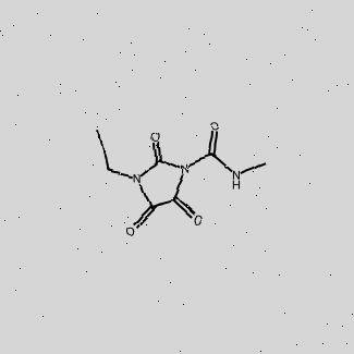 CCN1C(=O)C(=O)N(C(=O)NC)C1=O